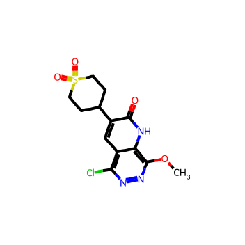 COc1nnc(Cl)c2cc(C3CCS(=O)(=O)CC3)c(=O)[nH]c12